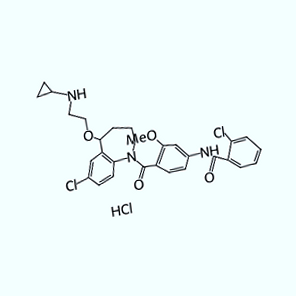 COc1cc(NC(=O)c2ccccc2Cl)ccc1C(=O)N1CCCC(OCCNC2CC2)c2cc(Cl)ccc21.Cl